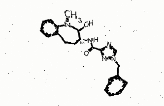 CN1c2ccccc2CC[C@H](NC(=O)c2ncn(Cc3ccccc3)n2)C1O